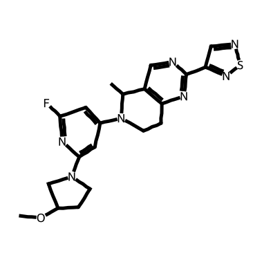 COC1CCN(c2cc(N3CCc4nc(-c5cnsn5)ncc4C3C)cc(F)n2)C1